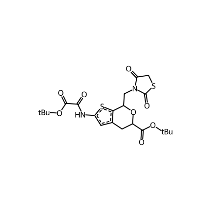 CC(C)(C)OC(=O)C(=O)Nc1cc2c(s1)C(CN1C(=O)CSC1=O)OC(C(=O)OC(C)(C)C)C2